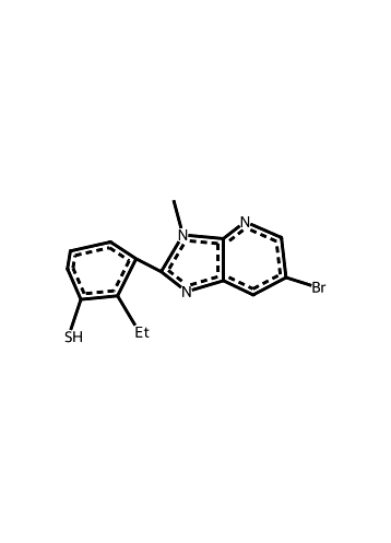 CCc1c(S)cccc1-c1nc2cc(Br)cnc2n1C